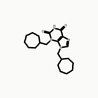 O=c1[nH]c(=O)n(CC2CCCCCC2)c2c1n[c]n2CC1CCCCCC1